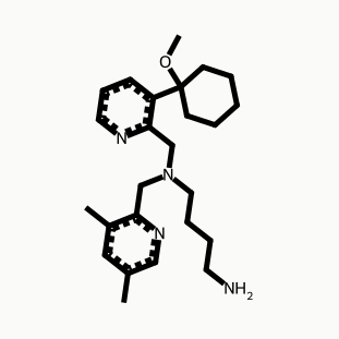 COC1(c2cccnc2CN(CCCCN)Cc2ncc(C)cc2C)CCCCC1